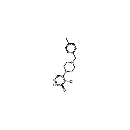 Cc1ccc(CN2CCN(c3cn[nH]c(=O)c3Cl)CC2)cc1